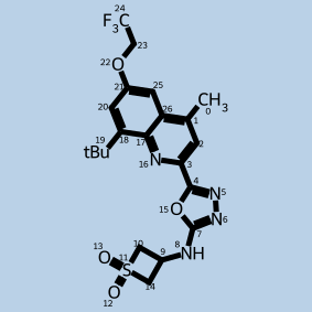 Cc1cc(-c2nnc(NC3CS(=O)(=O)C3)o2)nc2c(C(C)(C)C)cc(OCC(F)(F)F)cc12